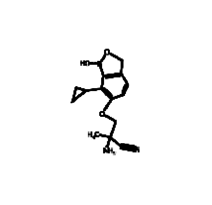 CC(N)(C#N)COc1ccc2c(c1C1CC1)B(O)OC2